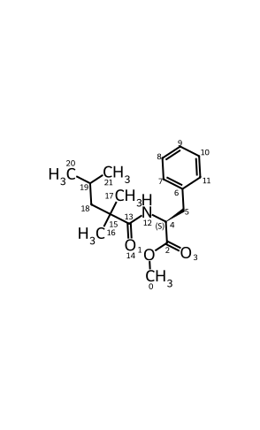 COC(=O)[C@H](Cc1ccccc1)NC(=O)C(C)(C)CC(C)C